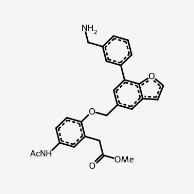 COC(=O)Cc1cc(NC(C)=O)ccc1OCc1cc(-c2cccc(CN)c2)c2occc2c1